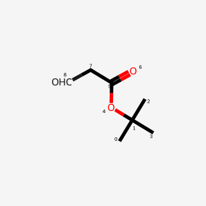 CC(C)(C)OC(=O)CC=O